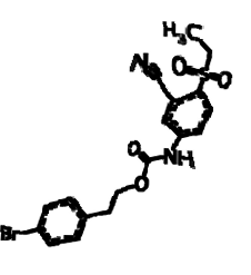 CCS(=O)(=O)c1ccc(NC(=O)OCCc2ccc(Br)cc2)cc1C#N